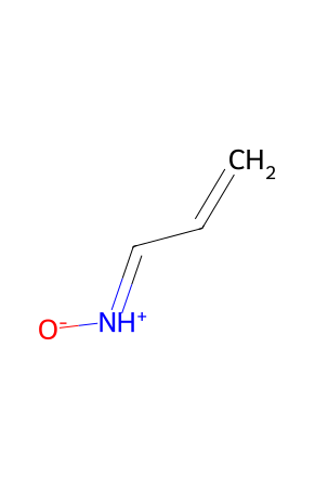 C=CC=[NH+][O-]